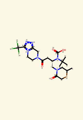 CC1CN(C[C@H](CC(=O)N2CCn3c(nnc3C(F)(F)F)C2)N(C(=O)O)C(C)(C)C)C(=O)CS1